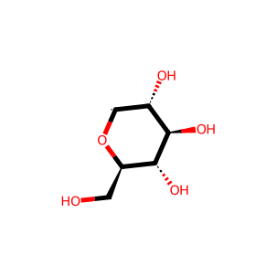 OC[C@H]1O[CH][C@H](O)[C@@H](O)[C@@H]1O